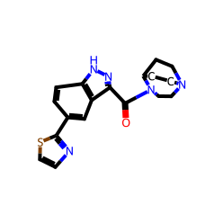 O=C(c1n[nH]c2ccc(-c3nccs3)cc12)N1CCN2CCC1CC2